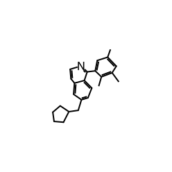 Cc1cc(C)c(C)c(-c2nccc3cc(CC4CCCC4)ccc23)c1